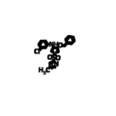 Cn1cnc(S(=O)(=O)N2C[C@H](Nc3cccc(Cl)c3)[C@@H](OCc3ccccc3)C2)c1